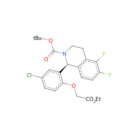 CCOC(=O)COc1ccc(Cl)cc1[C@@H]1c2ccc(F)c(F)c2CCN1C(=O)OC(C)(C)C